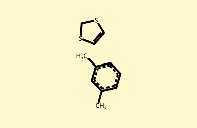 C1=CSCS1.Cc1cccc(C)c1